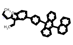 C=Cc1c(/C=C\C)oc2ccc(-c3ccc(-c4c5ccccc5c(-c5cccc6ccccc56)c5ccccc45)cc3)cc12